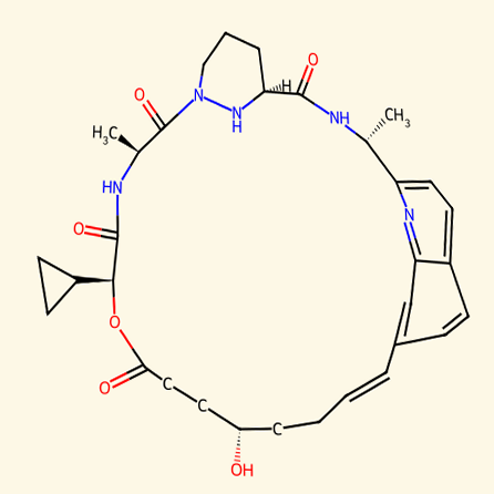 C[C@@H]1NC(=O)[C@H](C2CC2)OC(=O)CC[C@@H](O)CC/C=C/c2ccc3ccc(nc3c2)[C@@H](C)NC(=O)[C@@H]2CCCN(N2)C1=O